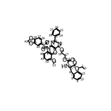 CCOC(=O)C(Cc1ccccc1)NC(=O)OCCOc1nc(-c2ccccc2)nc(NS(=O)(=O)c2ccc3c(c2)OCO3)c1Oc1ccccc1OC